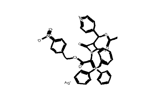 CC(=O)OC(c1ccncc1)C1C(=O)N(C(C(=O)OCc2ccc([N+](=O)[O-])cc2)=P(c2ccccc2)(c2ccccc2)c2ccccc2)C1[S-].[Ag+]